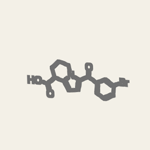 O=C(c1cccc(Br)c1)c1ccc2n1CCCC2C(=O)O